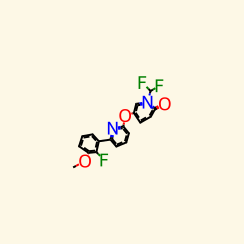 COc1cccc(-c2cccc(Oc3ccc(=O)n(C(F)F)c3)n2)c1F